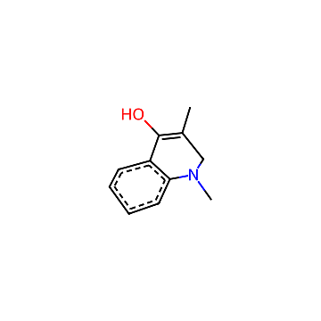 CC1=C(O)c2ccccc2N(C)C1